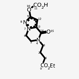 CCOC(=O)CCCN1CCn2nc(OC(=O)O)cc2C1=O